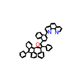 C1=Cc2c(c(-c3ccccc3)c3ccccc3c2-c2oc(-c3ccc(-c4ccc5ccc6cccnc6c5n4)c4ccccc34)c(-c3ccccc3)c2-c2ccccc2)CC1